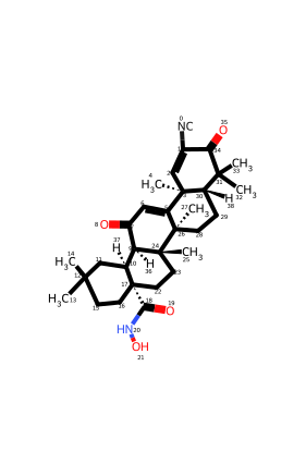 [C-]#[N+]C1=C[C@]2(C)C3=CC(=O)[C@@H]4[C@@H]5CC(C)(C)CC[C@]5(C(=O)NO)CC[C@@]4(C)[C@]3(C)CC[C@H]2C(C)(C)C1=O